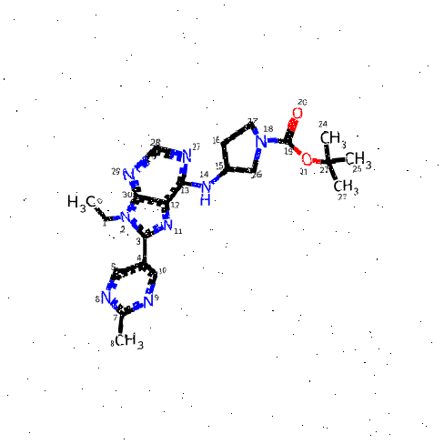 CCn1c(-c2cnc(C)nc2)nc2c(NC3CCN(C(=O)OC(C)(C)C)C3)ncnc21